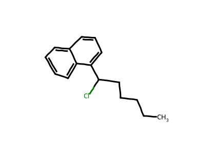 CCCCCC(Cl)c1cccc2ccccc12